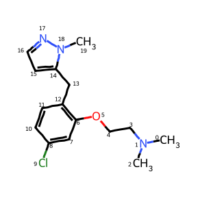 CN(C)CCOc1cc(Cl)ccc1Cc1ccnn1C